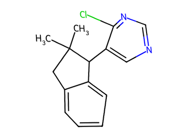 CC1(C)Cc2ccccc2C1c1cncnc1Cl